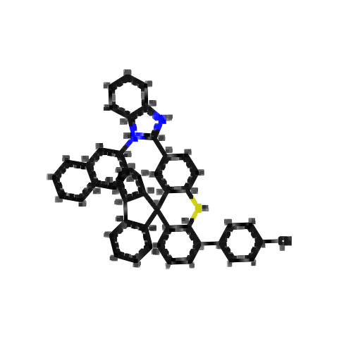 N#Cc1ccc(-c2cccc3c2Sc2ccc(-c4nc5ccccc5n4-c4ccc5ccccc5c4)cc2C32c3ccccc3-c3ccccc32)cc1